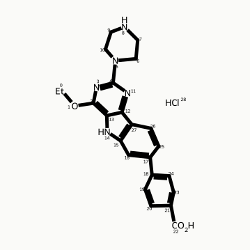 CCOc1nc(N2CCNCC2)nc2c1[nH]c1cc(-c3ccc(C(=O)O)cc3)ccc12.Cl